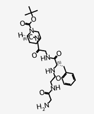 CC(C)(C)OC(=O)N1CC2CC[C@@H]1CN2C(=O)CNC(=O)[C@H](Cc1ccccc1)NC(=O)CNC(=O)CN